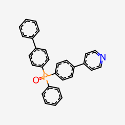 O=P(c1ccccc1)(c1ccc(-c2ccccc2)cc1)c1ccc(-c2ccncc2)cc1